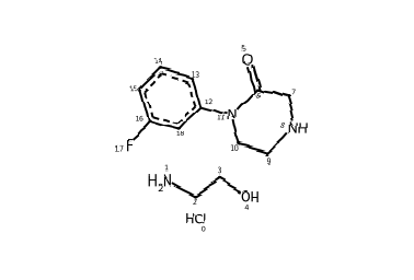 Cl.NCCO.O=C1CNCCN1c1cccc(F)c1